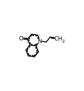 C=CCn1[c]cc(=O)c2ccccc21